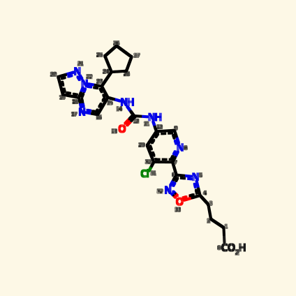 O=C(O)CCCc1nc(-c2ncc(NC(=O)Nc3cnc4ccnn4c3C3CCCC3)cc2Cl)no1